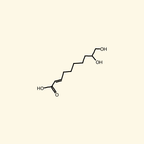 O=C(O)/C=C/CCCCCC(O)CO